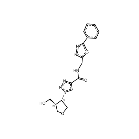 O=C(NCc1nnc(-c2ccccc2)s1)c1cn([C@@H]2COC[C@H]2CO)nn1